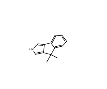 CC1(C)c2ccccc2-c2c[nH]cc21